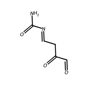 NC(=O)N=CCC(=O)C=O